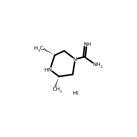 C[C@@H]1CN(C(=N)N)C[C@H](C)N1.I